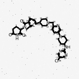 O=C1CCC(N2Cc3cc(C4CCN(Cc5ccc(N6CCC(Nc7ncc(Cl)cn7)CC6)cn5)CC4)ccc3C2=O)C(=O)N1